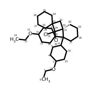 CCOC1CCC(C2(C3CCC(OCC)CC3)CCCC[C@]23CC2(CCCCC2)C3(Cl)Cl)CC1